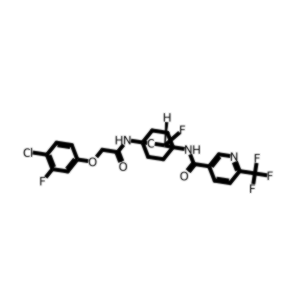 O=C(COc1ccc(Cl)c(F)c1)NC12CCC(NC(=O)c3ccc(C(F)(F)F)nc3)(CC1)[C@@H](F)C2